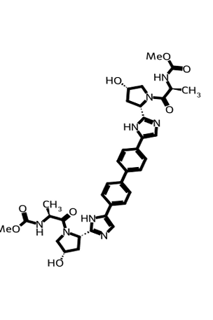 COC(=O)N[C@@H](C)C(=O)N1C[C@@H](O)C[C@H]1c1ncc(-c2ccc(-c3ccc(-c4cnc([C@@H]5C[C@H](O)CN5C(=O)[C@H](C)NC(=O)OC)[nH]4)cc3)cc2)[nH]1